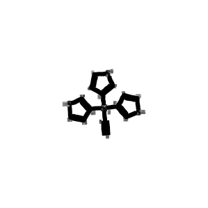 C#C[Si](c1ccsc1)(c1ccsc1)c1ccsc1